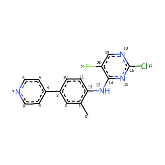 Cc1cc(-c2ccncc2)ccc1Nc1nc(Cl)ncc1F